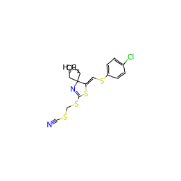 CCC1(CC)N=C(SCSC#N)SC1=CSc1ccc(Cl)cc1